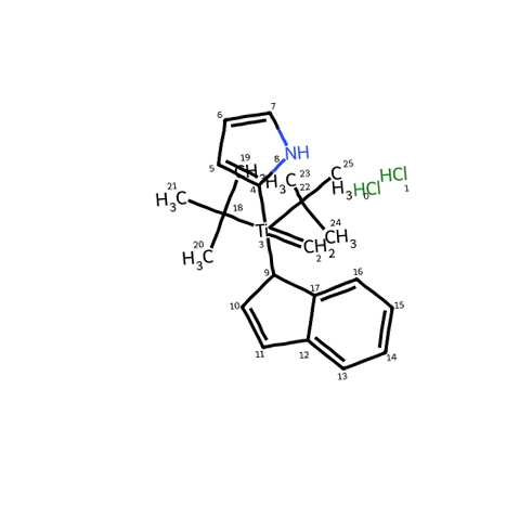 Cl.Cl.[CH2]=[Ti]([c]1ccc[nH]1)([CH]1C=Cc2ccccc21)([C](C)(C)C)[C](C)(C)C